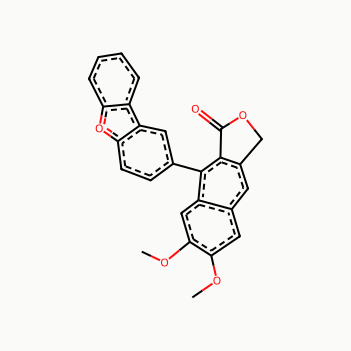 COc1cc2cc3c(c(-c4ccc5oc6ccccc6c5c4)c2cc1OC)C(=O)OC3